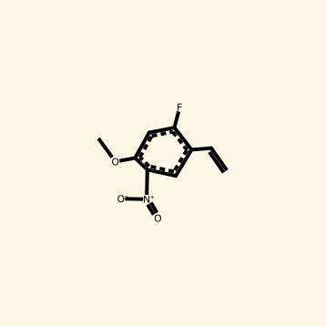 C=Cc1cc([N+](=O)[O-])c(OC)cc1F